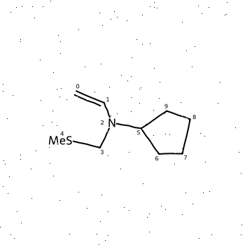 C=CN(CSC)C1CCCC1